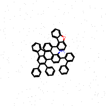 Nc1c(-c2ccccc2-c2ccccc2)ccc(-c2c3c(cc(-c4ccccc4)c2-c2ccccc2)-c2ccccc2C3)c1-c1ccccc1-c1cccc2oc3ccccc3c12